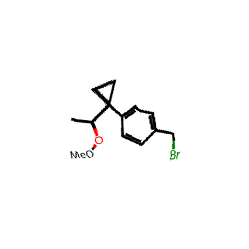 COOC(C)C1(c2ccc(CBr)cc2)CC1